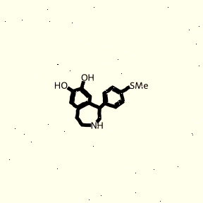 CSc1ccc(C2CNCCc3cc(O)c(O)cc32)cc1